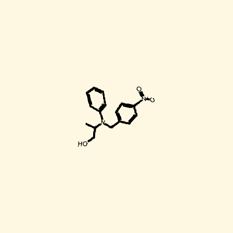 CC(CO)N(Cc1ccc([N+](=O)[O-])cc1)c1ccccc1